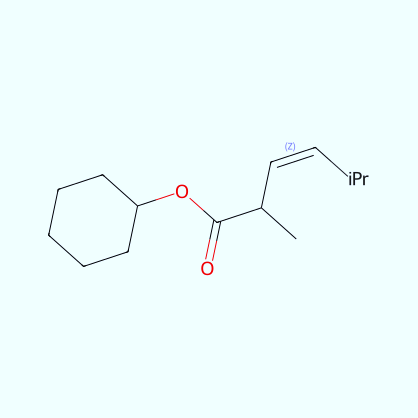 CC(C)/C=C\C(C)C(=O)OC1CCCCC1